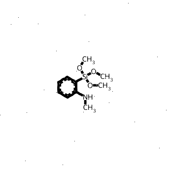 CNc1c[c]ccc1[Si](OC)(OC)OC